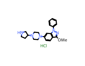 COc1nn(-c2ccccc2)c2cc(N3CCN(C4CCNC4)CC3)ccc12.Cl